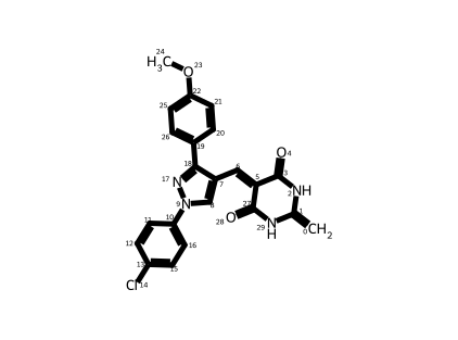 C=c1[nH]c(=O)c(=Cc2cn(-c3ccc(Cl)cc3)nc2-c2ccc(OC)cc2)c(=O)[nH]1